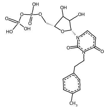 Cc1ccc(CCn2c(=O)ccn([C@@H]3O[C@H](COP(=O)(O)OP(=O)(O)O)C(O)C3O)c2=O)cc1